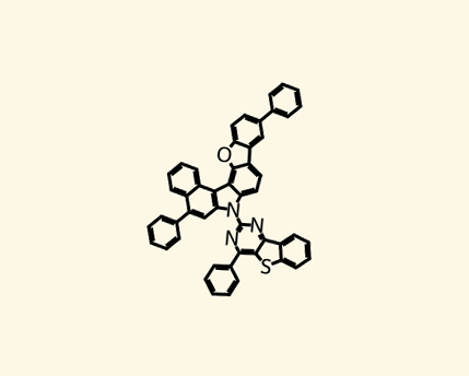 c1ccc(-c2ccc3oc4c(ccc5c4c4c6ccccc6c(-c6ccccc6)cc4n5-c4nc(-c5ccccc5)c5sc6ccccc6c5n4)c3c2)cc1